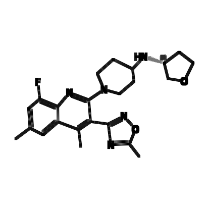 Cc1cc(F)c2nc(N3CCC(N[C@@H]4CCOC4)CC3)c(-c3noc(C)n3)c(C)c2c1